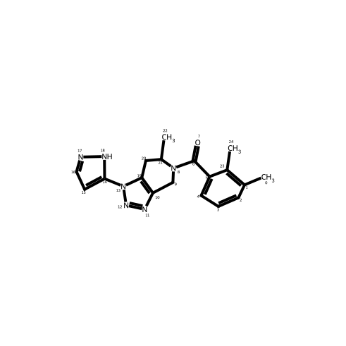 Cc1cccc(C(=O)N2Cc3nnn(-c4ccn[nH]4)c3CC2C)c1C